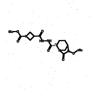 CCCCON1C(=O)N2CC1CC[C@H]2C(=O)NNC(=O)C1CN(C(=O)OC(C)(C)C)C1